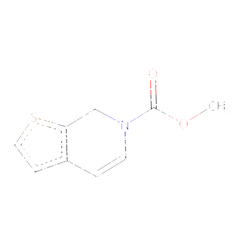 COC(=O)N1C=Cc2ccsc2C1